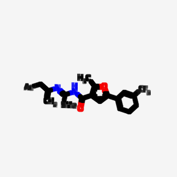 C=C(CC(C)=O)/N=C(/NC(=O)c1cc(C2=CCCC(C(F)(F)F)=C2)oc1C)SC